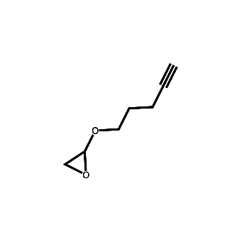 C#CCCCOC1CO1